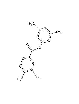 Cc1cc(C)cc(OC(=O)c2ccc(C)c(N)c2)c1